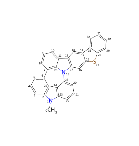 Cn1c2cccc3c4cccc5c6cc7c(cc6n(c6cccc1c6c32)c45)sc1ccccc17